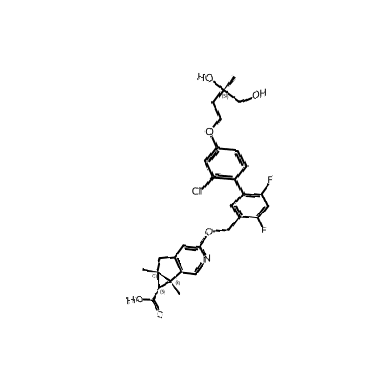 C[C@@](O)(CO)CCOc1ccc(-c2cc(COc3cc4c(cn3)[C@]3(C)[C@@H](C(=O)O)[C@]3(C)C4)c(F)cc2F)c(Cl)c1